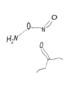 CC(C)=O.NON=O